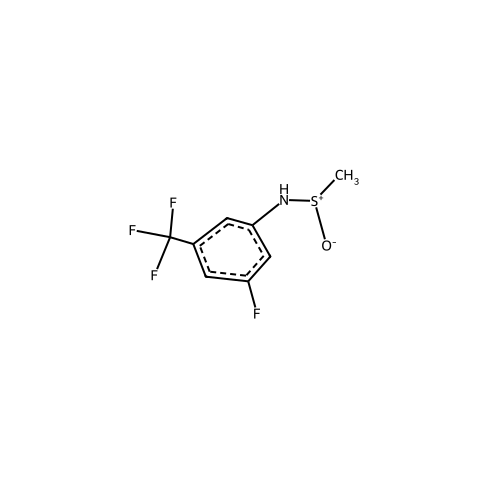 C[S+]([O-])Nc1cc(F)cc(C(F)(F)F)c1